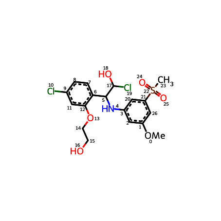 COc1cc(NC(c2ccc(Cl)cc2OCCO)C(O)Cl)cc(S(C)(=O)=O)c1